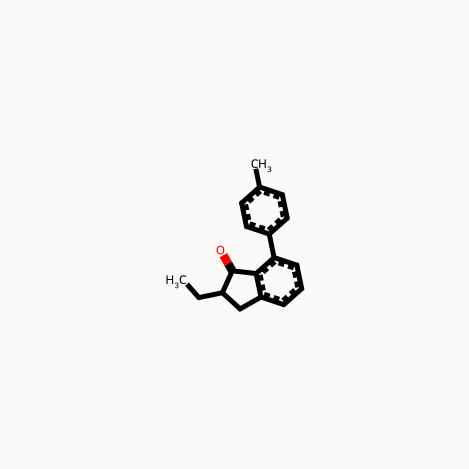 CCC1Cc2cccc(-c3ccc(C)cc3)c2C1=O